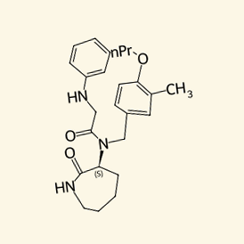 CCCOc1ccc(CN(C(=O)CNc2ccccc2)[C@H]2CCCCNC2=O)cc1C